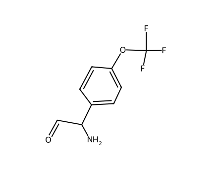 NC(C=O)c1ccc(OC(F)(F)F)cc1